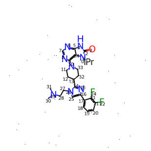 CC(C)n1c(=O)[nH]c2ncnc(N3CCC(c4nc(-c5cccc(F)c5F)cn4CCN(C)C)CC3)c21